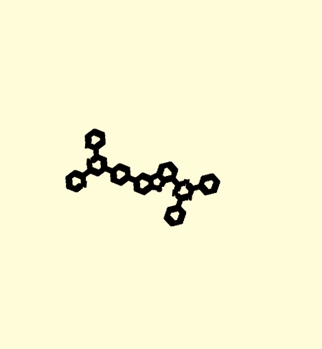 c1ccc(-c2nc(-c3ccccc3)nc(-c3cccc4c3sc3ccc(-c5ccc(-c6cc(-c7ccccn7)nc(-c7ccccn7)c6)cc5)cc34)n2)cc1